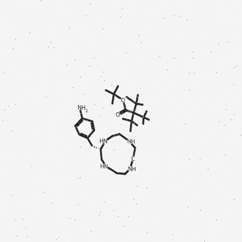 CC(C)(C)OC(=O)C(C(C)(C)C)(C(C)(C)C)C(C)(C)C.Nc1ccc(C[C@H]2CNCCNCCNCCN2)cc1